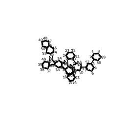 c1ccc(-c2cccc(-c3cc(-c4ccccc4)nc(-c4ccccc4-n4c5ccccc5c5cc6c7ccccc7n(-c7ccc8ccccc8c7)c6cc54)n3)c2)cc1